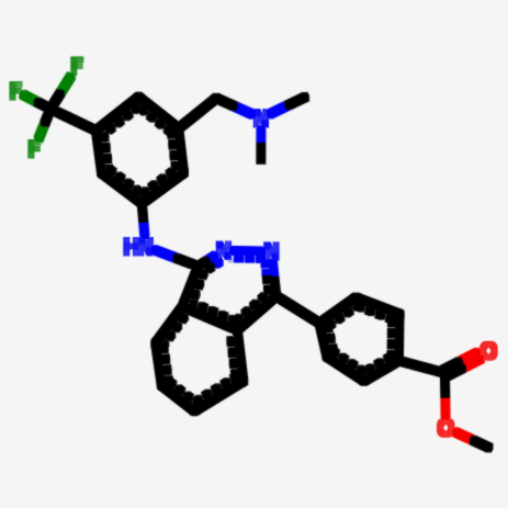 COC(=O)c1ccc(-c2nnc(Nc3cc(CN(C)C)cc(C(F)(F)F)c3)c3ccccc23)cc1